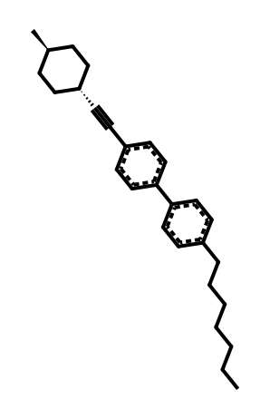 CCCCCCCc1ccc(-c2ccc(C#C[C@H]3CC[C@H](C)CC3)cc2)cc1